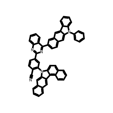 N#Cc1ccc(-c2nc(-c3ccc4cc5c(cc4c3)c3ccccc3n5-c3ccccc3)c3ccccc3n2)cc1-n1c2cc3ccccc3cc2c2c3ccccc3ccc21